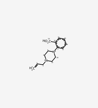 C=CCN1CCN(c2ccccc2C(=O)O)CC1